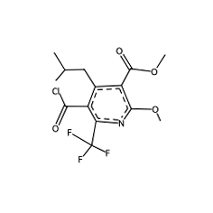 COC(=O)c1c(OC)nc(C(F)(F)F)c(C(=O)Cl)c1CC(C)C